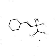 CC(C)C(C)(O)/C=C/C1CCCCC1